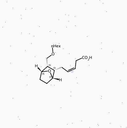 CCCCCCOC[C@@H]1[C@H](C/C=C\CC(=O)O)[C@@H]2CC[C@H]1O2